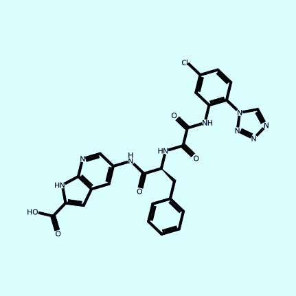 O=C(Nc1cc(Cl)ccc1-n1cnnn1)C(=O)N[C@@H](Cc1ccccc1)C(=O)Nc1cnc2[nH]c(C(=O)O)cc2c1